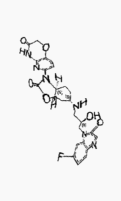 O=C1COc2ccc(N3C(=O)O[C@H]4C[C@@H](NC[C@@H](O)Cn5c(=O)cnc6ccc(F)cc65)CC[C@@H]43)nc2N1